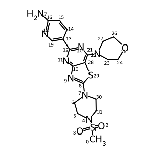 CS(=O)(=O)N1CCN(c2nc3nc(-c4ccc(N)nc4)nc(N4CCOCC4)c3s2)CC1